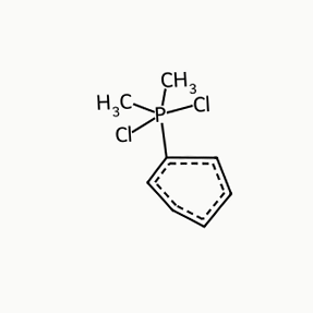 CP(C)(Cl)(Cl)c1ccccc1